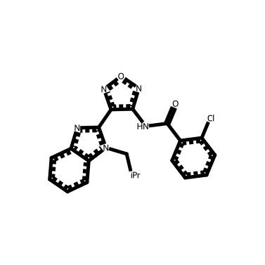 CC(C)Cn1c(-c2nonc2NC(=O)c2ccccc2Cl)nc2ccccc21